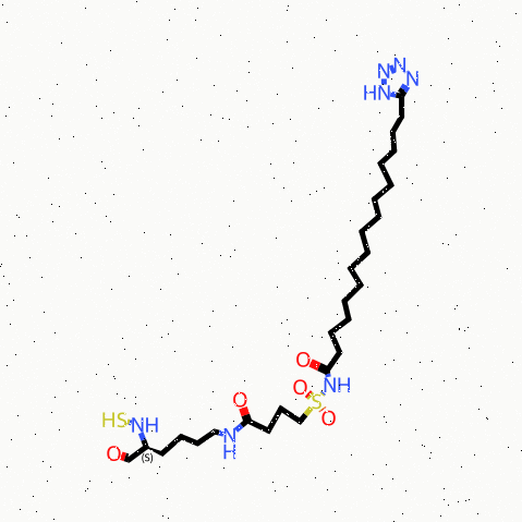 O=C[C@H](CCCCNC(=O)CCCS(=O)(=O)NC(=O)CCCCCCCCCCCCCCCc1nnn[nH]1)NS